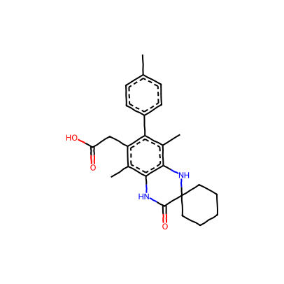 Cc1ccc(-c2c(C)c3c(c(C)c2CC(=O)O)NC(=O)C2(CCCCC2)N3)cc1